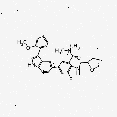 COc1ccccc1-c1c[nH]c2ncc(-c3cc(F)c(NCC4CCCO4)c(C(=O)N(C)C)c3)cc12